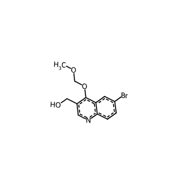 COCOc1c(CO)cnc2ccc(Br)cc12